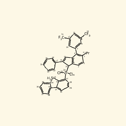 CC(C)c1ccc2c(c1-c1cc(C(F)(F)F)cc(C(F)(F)F)c1)C=C(c1ccccc1)[CH]2[Zr]([Cl])([Cl])[c]1cccc2c1[SiH2]c1ccccc1-2